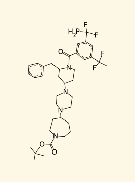 CC(C)(C)OC(=O)N1CCCC(N2CCN(C3CCN(C(=O)c4cc(C(C)(F)F)cc(C(F)(F)P)c4)C(Cc4ccccc4)C3)CC2)CC1